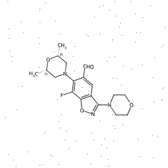 C[C@@H]1CN(c2c(C=O)cc3c(N4CCOCC4)noc3c2F)C[C@H](C)O1